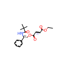 CCOC(=O)/C=C/C(=O)OC[C@@H](NC(=O)C(C)(C)C)c1ccccc1